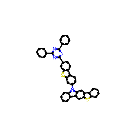 c1ccc(-c2nc(-c3ccccc3)nc(-c3ccc4c(c3)sc3cc(-n5c6ccccc6c6cc7sc8ccccc8c7cc65)ccc34)n2)cc1